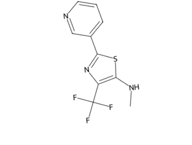 CNc1sc(-c2cccnc2)nc1C(F)(F)F